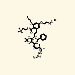 [3H]PSO[C@@H](C)[C@H](C)/C=C\C(OC(=O)c1ccccc1)C1OC(C)(C)O[C@H]1CCCc1cc(OCCN=[N+]=[N-])cc(OCOC)c1C(=O)OCC[Si](C)(C)C